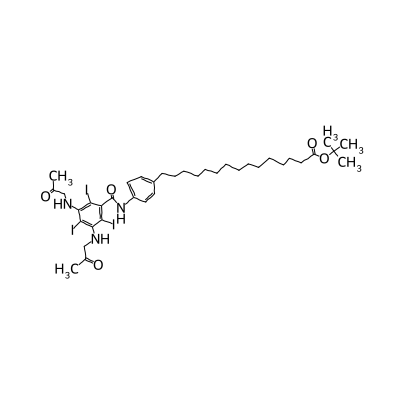 CC(=O)CNc1c(I)c(NCC(C)=O)c(I)c(C(=O)Nc2ccc(CCCCCCCCCCCCCCC(=O)OC(C)(C)C)cc2)c1I